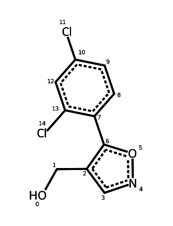 OCc1cnoc1-c1ccc(Cl)cc1Cl